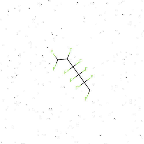 FCC(F)(F)C(F)(F)C(F)(F)C(F)C(F)F